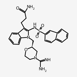 N=C(N)N1CCO[C@@H](Cn2c(NS(=O)(=O)c3ccc4ccccc4c3)c(CCC(N)=O)c3ccccc32)C1